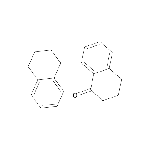 O=C1CCCc2ccccc21.c1ccc2c(c1)CCCC2